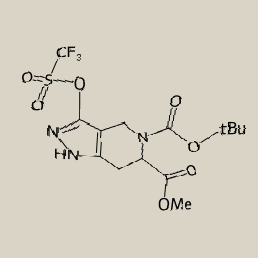 COC(=O)C1Cc2[nH]nc(OS(=O)(=O)C(F)(F)F)c2CN1C(=O)OC(C)(C)C